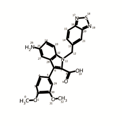 COc1ccc(-c2c(C(=O)O)n(Cc3ccc4nsnc4c3)c3ccc(N)cc23)cc1OC